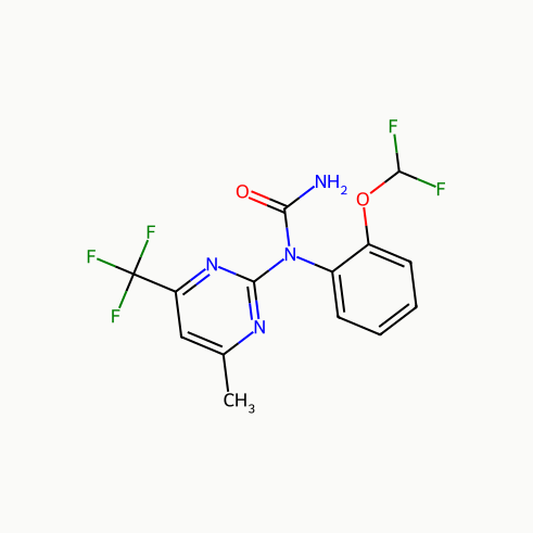 Cc1cc(C(F)(F)F)nc(N(C(N)=O)c2ccccc2OC(F)F)n1